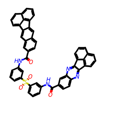 O=C(Nc1cccc(S(=O)(=O)c2cccc(NC(=O)c3ccc4nc5c(nc4c3)-c3cccc4cccc-5c34)c2)c1)c1ccc2cc3c(cc2c1)-c1cccc2cccc-3c12